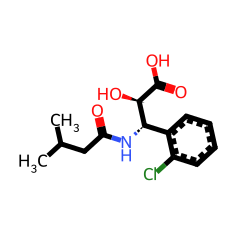 CC(C)CC(=O)N[C@@H](c1ccccc1Cl)[C@@H](O)C(=O)O